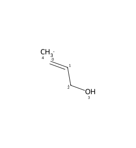 C=C[CH]O.[CH3]